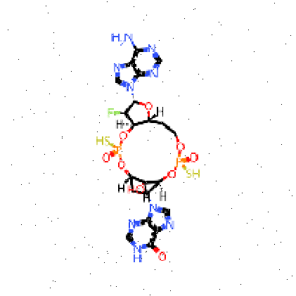 Nc1ncnc2c1ncn2[C@@H]1O[C@@H]2CCOP(=O)(S)O[C@@H]3[C@H](O)[C@H](C[C@H]3n3cnc4c(=O)[nH]cnc43)OP(=O)(S)O[C@H]2[C@H]1F